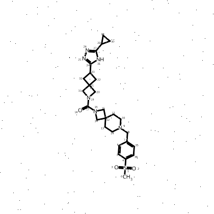 CS(=O)(=O)c1ccc(CN2CCC3(CC2)CN(C(=O)N2CC4(CC(c5nnc(C6CC6)[nH]5)C4)C2)C3)cc1